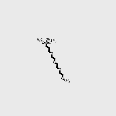 COCCOCCOCCOCCC[Si](O)(OC)OC